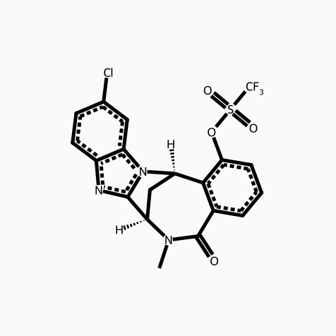 CN1C(=O)c2cccc(OS(=O)(=O)C(F)(F)F)c2[C@H]2C[C@@H]1c1nc3ccc(Cl)cc3n12